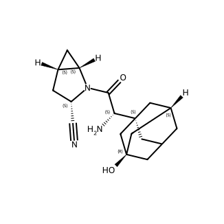 N#C[C@@H]1C[C@@H]2C[C@@H]2N1C(=O)[C@@H](N)[C@]12CC3C[C@H](C[C@](O)(C3)C1)C2